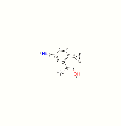 C[C](CO)c1cc(C#N)ccc1C1CC1